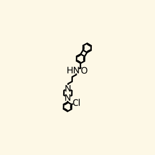 O=C(NCCCCN1CCN(c2ccccc2Cl)CC1)c1ccc2c(c1)-c1ccccc1-2